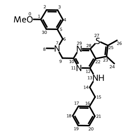 COc1cccc(CN(C)Cc2nc(NCCc3ccccc3)c3c(C)c(C)sc3n2)c1